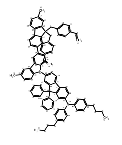 C=Cc1ccc(CC2(Cc3ccc(C=C)cc3)c3cc(C)ccc3-c3ccc(-c4ccc5c(c4)c4cc(C)ccc4n5-c4ccc5c(c4)C(c4ccccc4)(c4ccccc4)c4cc(N(c6ccc(CCCC)cc6)c6ccc(CCCC)cc6)ccc4-5)cc32)cc1